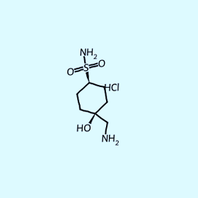 Cl.NC[C@]1(O)CC[C@@H](S(N)(=O)=O)CC1